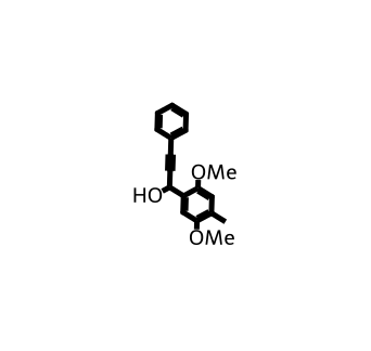 COc1cc(C(O)C#Cc2ccccc2)c(OC)cc1C